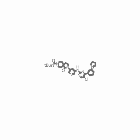 CC(C)(C)OC(=O)N1CCC2(CC1)CCN(c1cncc(Nc3ncc(Cl)c(-c4cccc(N5CCCC5)c4)n3)c1)C2=O